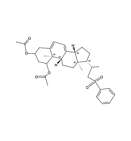 CC(=O)OC1CC2=CC=C3[C@@H]4CC[C@H](C(C)CS(=O)(=O)c5ccccc5)[C@@]4(C)CC[C@@H]3[C@@]2(C)C(OC(C)=O)C1